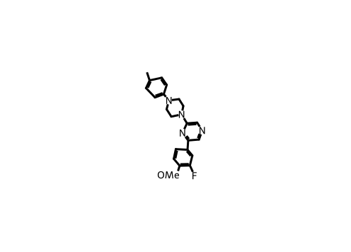 COc1ccc(-c2cncc(N3CCN(c4ccc(C)cc4)CC3)n2)cc1F